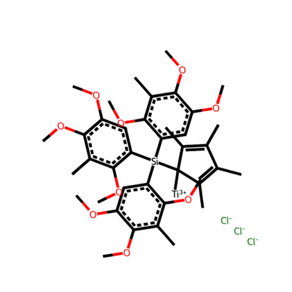 COc1cc([Si](c2cc(OC)c(OC)c(C)c2OC)(c2cc(OC)c(OC)c(C)c2OC)[C]2([Ti+3])C(C)=C(C)C(C)=C2C)c(OC)c(C)c1OC.[Cl-].[Cl-].[Cl-]